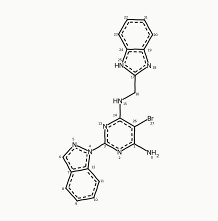 Nc1nc(-n2ncc3ccccc32)nc(NCc2nc3ccccc3[nH]2)c1Br